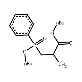 CCCCOC(=O)C(C)CP(=O)(OCCCC)c1ccccc1